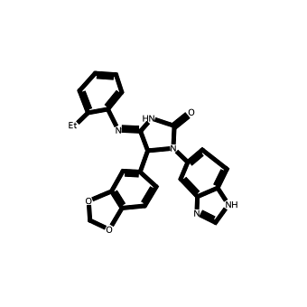 CCc1ccccc1N=C1NC(=O)N(c2ccc3[nH]cnc3c2)C1c1ccc2c(c1)OCO2